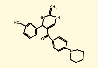 C=C1NC=C(C(=O)c2ccc(N3CCCCC3)cc2)C(c2cccc(O)c2)N1